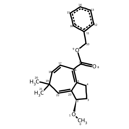 CO[C@@H]1CCC2=C(C(=O)OCc3ccccc3)C=CC(C)(C)C=C21